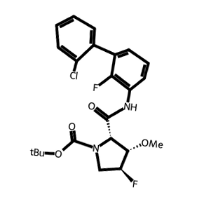 CO[C@H]1[C@@H](C(=O)Nc2cccc(-c3ccccc3Cl)c2F)N(C(=O)OC(C)(C)C)C[C@@H]1F